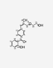 CC(=Cc1ccc(C(=O)c2ccccc2O)cc1)COCCO